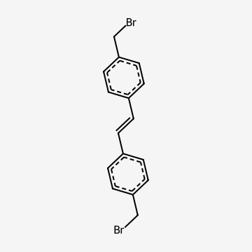 BrCc1ccc(/C=C/c2ccc(CBr)cc2)cc1